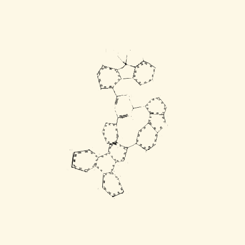 CC1(C)c2ccccc2-c2c(C3=NC(c4ccccc4)=NC(c4cccc5oc6ccc(-c7ccc8c9ccccc9c9ccccc9c8c7)cc6c45)N3)cccc21